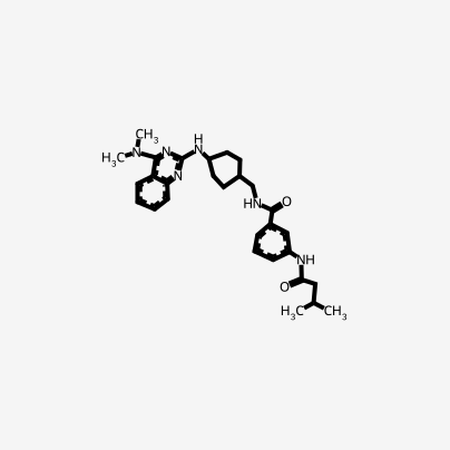 CC(C)CC(=O)Nc1cccc(C(=O)NCC2CCC(Nc3nc(N(C)C)c4ccccc4n3)CC2)c1